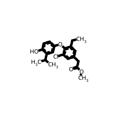 CCc1cc(CC(=O)OC)cc(Cl)c1Oc1ccc(O)c(C(C)C)c1